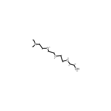 CN(C)CCOCCOCCOCCO